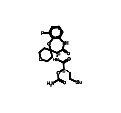 CC(C)(C)CC[C@H](OC(N)=O)C(=O)N[C@H]1C(=O)Nc2cccc(F)c2OC12CCOCC2